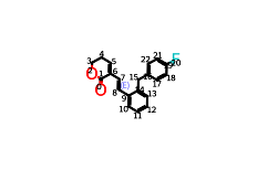 O=C1OCCC=C1/C=C/c1ccccc1Cc1ccc(F)cc1